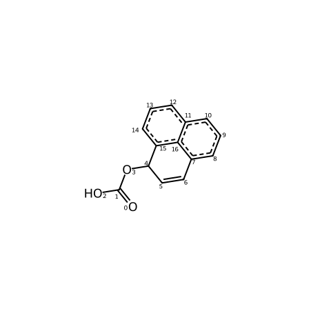 O=C(O)OC1C=Cc2cccc3cccc1c23